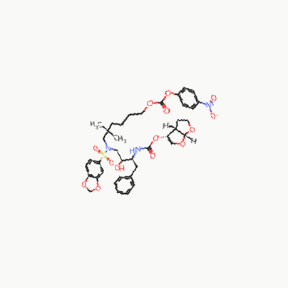 CC(C)(CCCCOC(=O)Oc1ccc([N+](=O)[O-])cc1)CN(C[C@H](O)[C@H](Cc1ccccc1)NC(=O)O[C@H]1CO[C@H]2OCC[C@H]21)S(=O)(=O)c1ccc2c(c1)OCO2